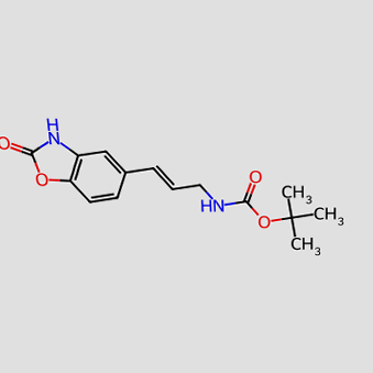 CC(C)(C)OC(=O)NCC=Cc1ccc2oc(=O)[nH]c2c1